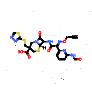 C#CCON=C(C(=O)NC1C(=O)N2CC(CSc3nncs3)(C(=O)O)CS[C@H]12)c1cccc(NC=O)n1